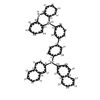 c1cc(-c2ccc(N(c3ccc4ccccc4c3)c3ccc4ccccc4c3)cc2)cc(N2c3ccccc3Sc3ccccc32)c1